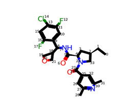 CC[C@@H]1C[C@H](C(=O)NC(c2cc(F)c(Cl)cc2F)C2COC2)N(C(=O)c2cc(C)nc(C)c2)C1